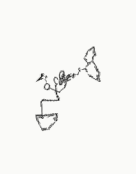 CCOC(=O)C(CCc1ccccc1)(C[PH](=O)CSc1cccc2ccccc12)OCC